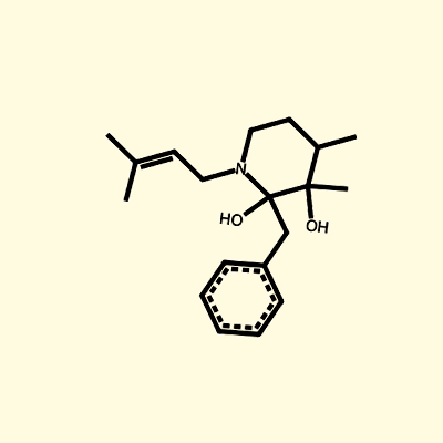 CC(C)=CCN1CCC(C)C(C)(O)C1(O)Cc1ccccc1